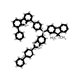 CC1(C)c2ccccc2-c2ccc(N(c3ccc(-c4cccc5c4sc4c(-c6ccccc6)cccc45)cc3)c3ccc4sc(C5C=CC(c6ccccc6)=CC5)nc4c3)cc21